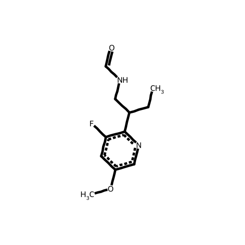 CCC(CNC=O)c1ncc(OC)cc1F